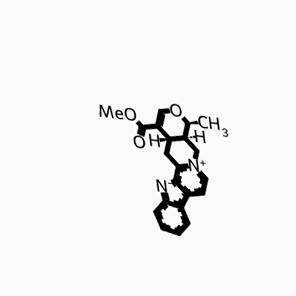 COC(=O)C1=CO[C@@H](C)[C@H]2C[n+]3ccc4c([n-]c5ccccc54)c3C[C@H]12